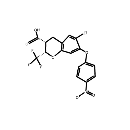 O=C(O)[C@@H]1Cc2cc(Cl)c(Oc3ccc([N+](=O)[O-])cc3)cc2O[C@@H]1C(F)(F)F